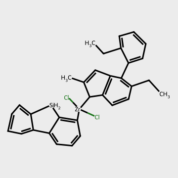 CCc1ccccc1-c1c(CC)ccc2c1C=C(C)[CH]2[Zr]([Cl])([Cl])[c]1cccc2c1[SiH2]c1ccccc1-2